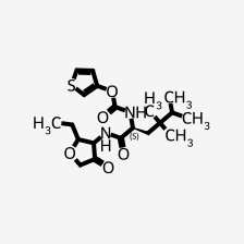 CCC1OCC(=O)C1NC(=O)[C@H](CC(C)(C)C(C)C)NC(=O)Oc1ccsc1